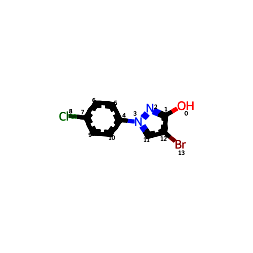 Oc1nn(-c2ccc(Cl)cc2)cc1Br